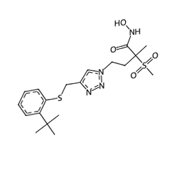 CC(C)(C)c1ccccc1SCc1cn(CCC(C)(C(=O)NO)S(C)(=O)=O)nn1